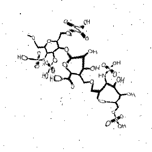 COCC1OC(COS(=O)(=O)O)C(OC2OC(C(=O)O)C(COCC3OC(COS(=O)(=O)O)C(O)C(O)C3NS(=O)(=O)O)C(O)C2O)C(OS(=O)(=O)O)C1NS(=O)(=O)O